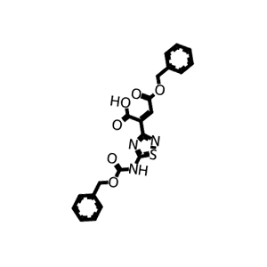 O=C(C=C(C(=O)O)c1nsc(NC(=O)OCc2ccccc2)n1)OCc1ccccc1